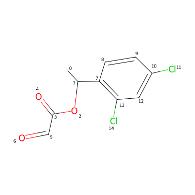 CC(OC(=O)C=O)c1ccc(Cl)cc1Cl